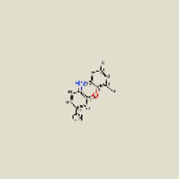 Cc1cc(C)c2c(c1)Nc1ccc(C#N)cc1O2